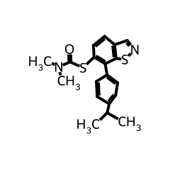 CC(C)c1ccc(-c2c(SC(=O)N(C)C)ccc3cnsc23)cc1